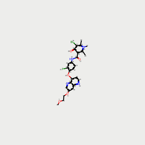 COCCOc1cnc2c(Oc3ccc(NC(=O)c4c(C)n(C)c(C)c(Br)c4=O)cc3F)ccnc2c1